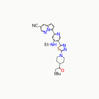 CCNc1cc(-c2ccc3cc(C#N)cnn23)ncc1-c1nnc(N2CCC(C(=O)CC(C)(C)C)CC2)s1